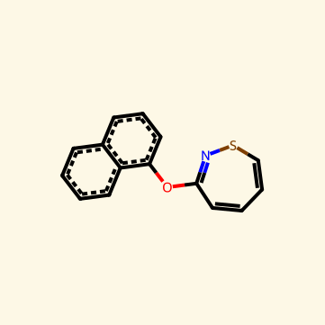 C1=CSN=C(Oc2cccc3ccccc23)C=C1